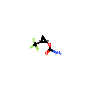 NC(=O)O[C@H]1C[C@@H]1C(F)(F)F